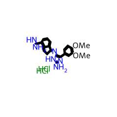 COc1ccc(-c2nc(N)[nH]c2N=C2CCc3c(C(=N)N)cccc32)cc1OC.Cl.Cl